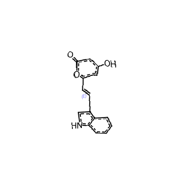 O=c1cc(O)cc(/C=C/c2c[nH]c3ccccc23)o1